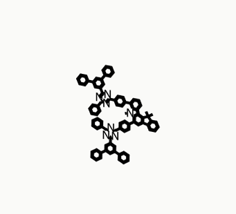 Cn1c2c(-c3ccc(-c4nc(-c5ccccc5)nc(-c5cc(-c6ccccc6)cc(-c6ccccc6)c5)n4)cc3)cccc2c2c3c(cc(-c4ccc(-c5nc(-c6ccccc6)nc(-c6cc(-c7ccccc7)cc(-c7ccccc7)c6)n5)cc4)c21)-c1ccccc1C3(C)C